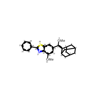 COC(=C1C2CC3CC(C2)CC1C3)c1cc(OC)c2nc(-c3ccccc3)sc2c1